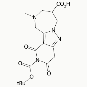 CN1Cc2c3c(nn2CC(C(=O)O)C1)CC(=O)N(C(=O)OC(C)(C)C)C3=O